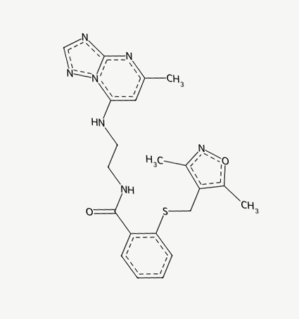 Cc1cc(NCCNC(=O)c2ccccc2SCc2c(C)noc2C)n2ncnc2n1